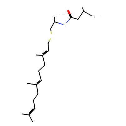 CC(=O)NC(CC(=O)NC(CSC/C=C(\C)CC/C=C(\C)CCC=C(C)C)C(=O)O)C(=O)O